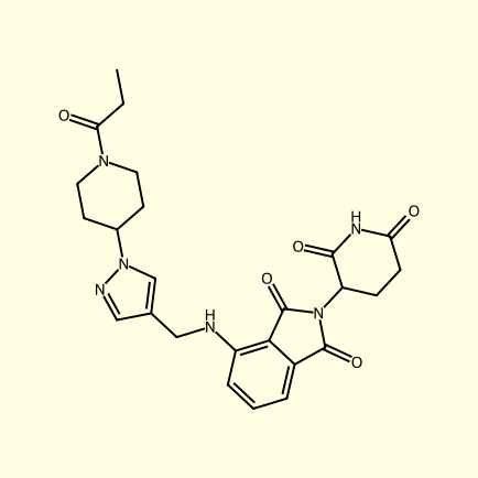 CCC(=O)N1CCC(n2cc(CNc3cccc4c3C(=O)N(C3CCC(=O)NC3=O)C4=O)cn2)CC1